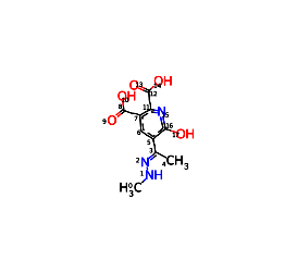 CN/N=C(\C)c1cc(C(=O)O)c(C(=O)O)nc1O